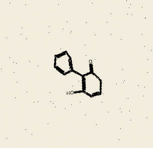 O=C1CC=CC(O)=C1c1ccccc1